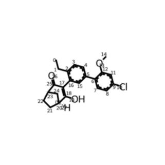 CCc1ccc(-c2ccc(Cl)cc2OC)cc1C1=C(O)[C@H]2CCC(C2)C1=O